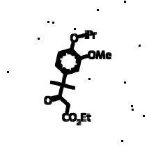 CCOC(=O)CC(=O)C(C)(C)c1ccc(OC(C)C)c(OC)c1